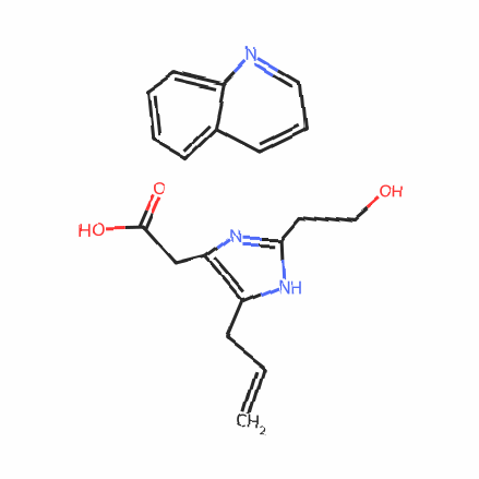 C=CCc1[nH]c(CCO)nc1CC(=O)O.c1ccc2ncccc2c1